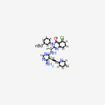 CCCCc1cccc(-n2c([C@H](C)Nc3ncnc(N)c3C#Cc3ccc(F)cn3)nc3cccc(Cl)c3c2=O)c1